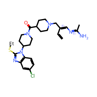 C=C/C(=C\N=C(/C)N)CN1CCC(C(=O)N2CCC(n3c(SCC)nc4cc(Cl)ccc43)CC2)CC1